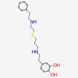 Oc1ccc(CCNCCCSCCNCCc2ccccc2)cc1O